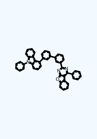 c1ccc(-c2nc(-c3cccc(-c4cccc(-c5cccc6c5c5ccccc5n6-c5ccccc5)c4)c3)nc3oc4ccccc4c23)cc1